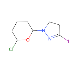 ClC1CCCC(N2CCC(I)=N2)O1